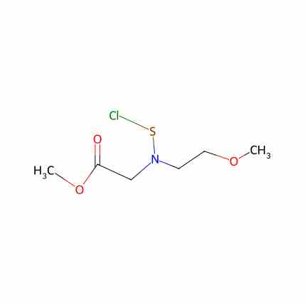 COCCN(CC(=O)OC)SCl